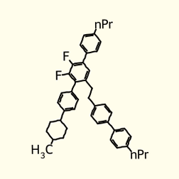 CCCc1ccc(-c2ccc(CCc3cc(-c4ccc(CCC)cc4)c(F)c(F)c3-c3ccc(C4CCC(C)CC4)cc3)cc2)cc1